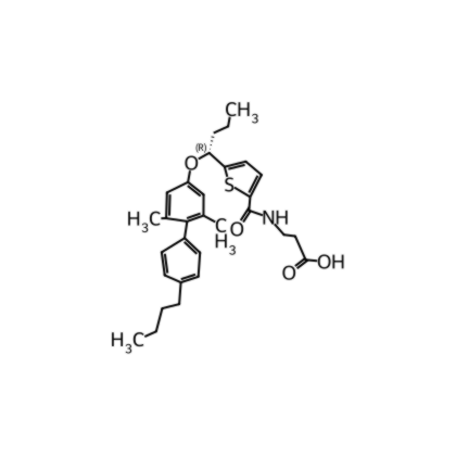 CCCCc1ccc(-c2c(C)cc(O[C@H](CCC)c3ccc(C(=O)NCCC(=O)O)s3)cc2C)cc1